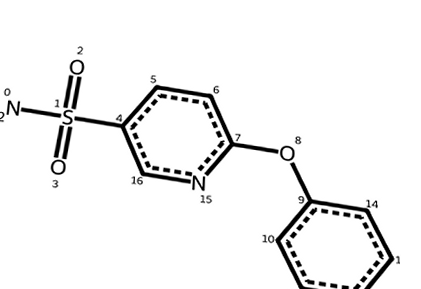 NS(=O)(=O)c1ccc(Oc2ccccc2)nc1